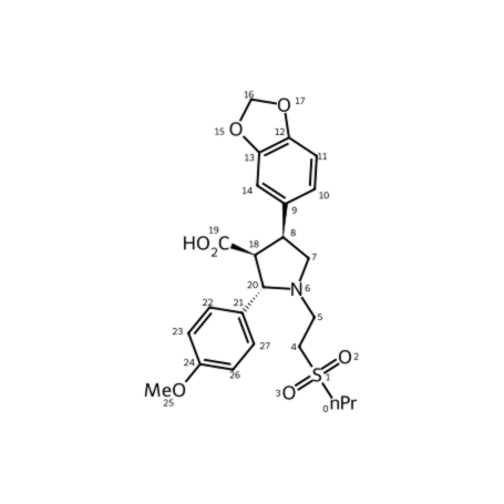 CCCS(=O)(=O)CCN1C[C@H](c2ccc3c(c2)OCO3)[C@H](C(=O)O)[C@H]1c1ccc(OC)cc1